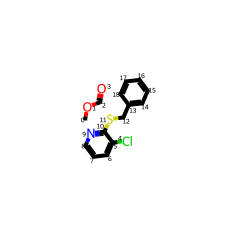 COC=O.Clc1cccnc1SCc1ccccc1